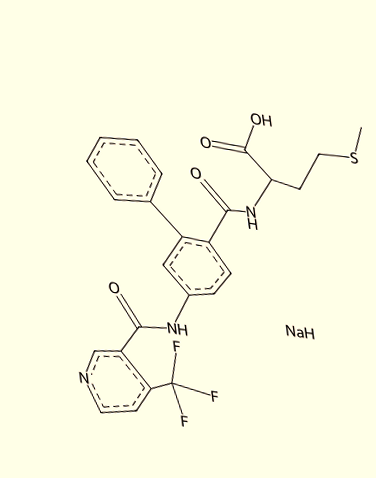 CSCCC(NC(=O)c1ccc(NC(=O)c2cnccc2C(F)(F)F)cc1-c1ccccc1)C(=O)O.[NaH]